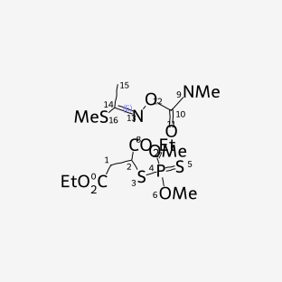 CCOC(=O)CC(SP(=S)(OC)OC)C(=O)OCC.CNC(=O)O/N=C(\C)SC